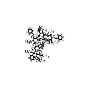 CO[C@@H]1OC(C)[C@H](O[C@@H]2OC(COC(C)=O)[C@@H](O[C@@H]3OC(C)C(O[C@@H]4OC(COC(C)=O)[C@@H](O[C@@H]5OC(C)[C@@H](C)[C@@H](OCc6ccccc6)C5C)[C@H](C)C4N=[N+]=[N-])[C@@H](OCc4ccccc4)C3C)[C@H](C)C2N=[N+]=[N-])[C@@H](OCc2ccccc2)C1C